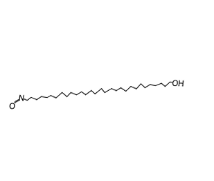 O=C=NCCCCCCCCCCCCCCCCCCCCCCCCCCCCCCO